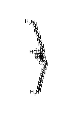 [2H]C([2H])(C(=O)\N=N/N=N/N=N/N=N/N=N/N=N/N=N/N)C([2H])([2H])C([2H])(\N=N/N=N/N=N/N=N/N=N/N=N/N=N/N)C(=O)O